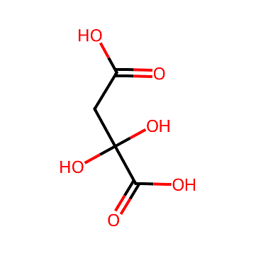 O=C(O)CC(O)(O)C(=O)O